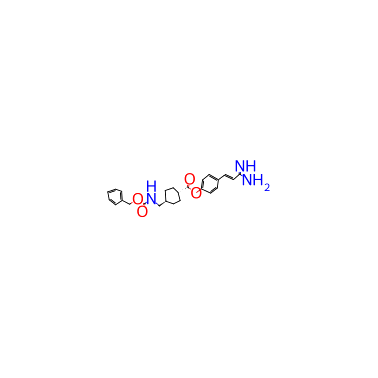 N=C(N)C=Cc1ccc(OC(=O)[C@H]2CC[C@H](CNC(=O)OCc3ccccc3)CC2)cc1